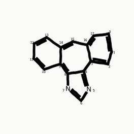 c1ccc2c3ncnc-3c3ccccc3cc2c1